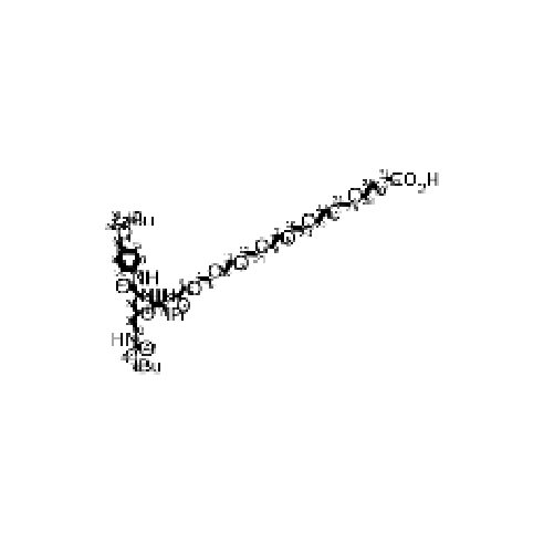 CC(C)[C@H](NC(=O)COCCOCCOCCOCCOCCOCCOCCOCCOCC(=O)O)C(=O)N[C@@H](CCCCNC(=O)OC(C)(C)C)C(=O)Nc1ccc(CO[Si](C)(C)C(C)(C)C)cc1